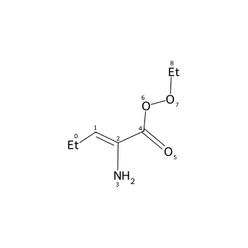 CCC=C(N)C(=O)OOCC